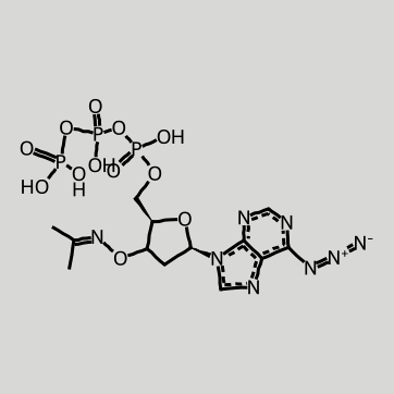 CC(C)=NOC1C[C@H](n2cnc3c(N=[N+]=[N-])ncnc32)O[C@@H]1COP(=O)(O)OP(=O)(O)OP(=O)(O)O